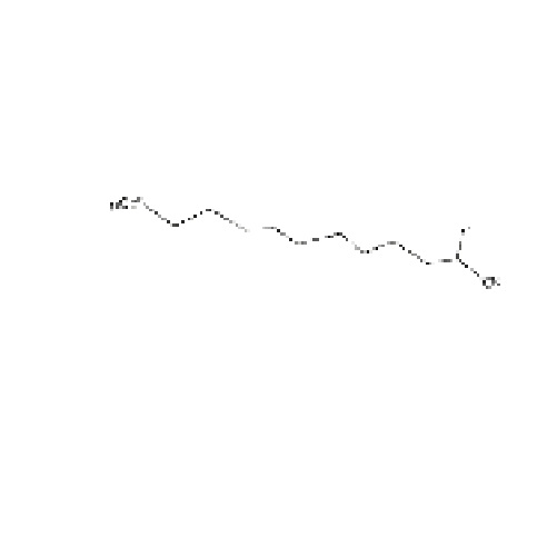 [CH2]C(C#N)CCCCCCCCCCCCCCCCC